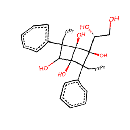 CCCC1(c2ccccc2)C(O)[C@@]2(O)C(CCC)(c3ccccc3)[C@@](O)([C@H](O)CO)[C@@]12O